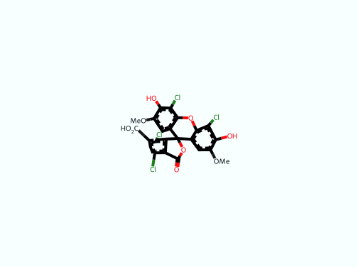 COc1cc2c(c(Cl)c1O)Oc1c(cc(OC)c(O)c1Cl)C21OC(=O)c2c(Cl)cc(C(=O)O)c(Cl)c21